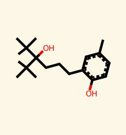 Cc1ccc(O)c(CCCC(O)(C(C)(C)C)C(C)(C)C)c1